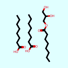 CCCCCCCC(=O)O.CCCCCCCC(=O)O.CCCCCCCC(=O)OCC(O)CO